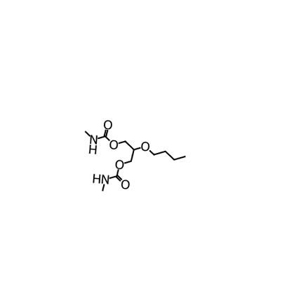 CCCCOC(COC(=O)NC)COC(=O)NC